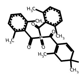 CC1=C(C(=O)P(=O)(C(=O)c2c(C)cccc2C)C(=O)c2c(C)cccc2C)C=CC(C)(C)C1